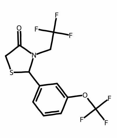 O=C1CSC(c2cccc(OC(F)(F)F)c2)N1CC(F)(F)F